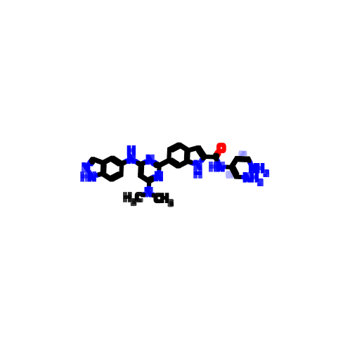 CN(C)c1cc(Nc2ccc3[nH]ncc3c2)nc(-c2ccc3cc(C(=O)NC(/C=C\N)=C/N)[nH]c3c2)n1